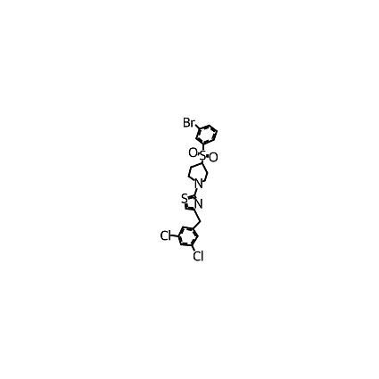 O=S(=O)(c1cccc(Br)c1)C1CCN(c2nc(Cc3cc(Cl)cc(Cl)c3)cs2)CC1